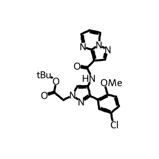 COc1ccc(Cl)cc1-c1nn(CC(=O)OC(C)(C)C)cc1NC(=O)c1cnn2cccnc12